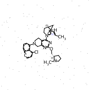 C/C=C/C(=O)[C@@]12CCN(c3nc(OC[C@@H]4CCCN4C)nc4c3CCN(c3cccc5cccc(Cl)c35)C4)C[C@@H]1C2